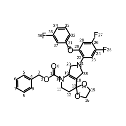 O=C(OCc1ccccc1)N1CCC2(OCCO2)C2=C1CN(c1cc(F)c(F)cc1Oc1cccc(F)c1)C2